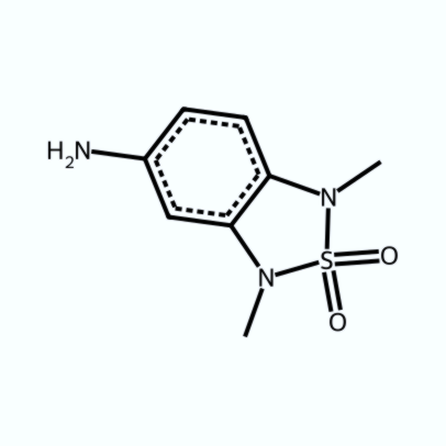 CN1c2ccc(N)cc2N(C)S1(=O)=O